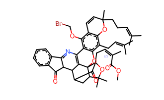 COC(=O)/C(C)=C\CC12OC(C)(C)C3CC(C1=O)C1C4=C(N=C5c6ccccc6C(=O)C51)c1c(OCBr)c5c(c(CC=C(C)C)c1OC432)OC(C)(CCC=C(C)C)C=C5